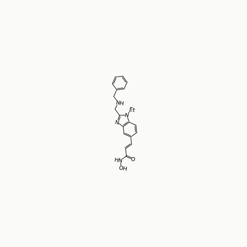 CCn1c(CNCc2ccccc2)nc2cc(C=CC(=O)NO)ccc21